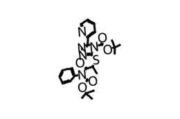 CC(Sc1nnc(-c2ccccn2)n1C(=O)OC(C)(C)C)C(=O)N(C(=O)OC(C)(C)C)c1ccccc1